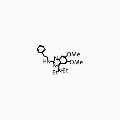 CCN(CC)c1nc(NCCc2ccccc2)nc2cc(OC)c(OC)cc12